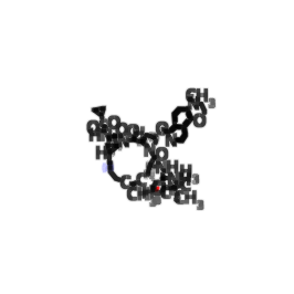 CC[C@@H]1C[C@@H](C)CC/C=C\[C@@H]2C[C@@]2(C(=O)NS(=O)(=O)C2CC2)NC(=O)[C@@H]2C[C@@H](Oc3nccc4c5c(ccc34)N(C)CCO5)CN2C(=O)[C@H]1NC(=O)NC(C)(C)C